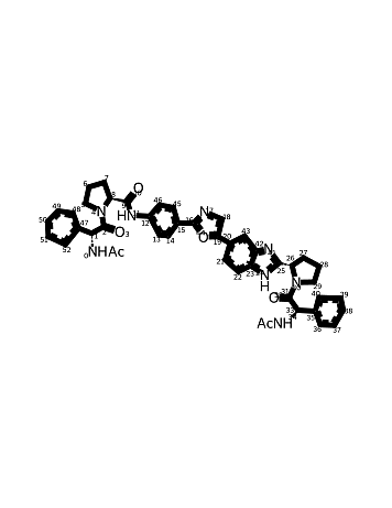 CC(=O)N[C@@H](C(=O)N1CCC[C@H]1C(=O)Nc1ccc(-c2ncc(-c3ccc4[nH]c([C@@H]5CCCN5C(=O)[C@H](NC(C)=O)c5ccccc5)nc4c3)o2)cc1)c1ccccc1